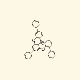 O=P12c3ccc(-c4ccccc4)cc3Oc3cc(-c4ccccc4)cc(c31)Oc1c(-c3ccccc3)cccc12